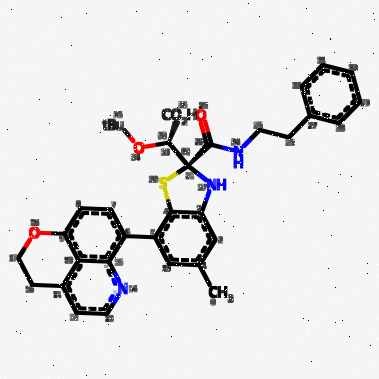 Cc1cc2c(c(-c3ccc4c5c(ccnc35)CCO4)c1)S[C@](C(=O)NCCc1ccccc1)([C@@H](OC(C)(C)C)C(=O)O)N2